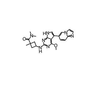 COc1nc(NC2CC(C)(C(=O)N(C)C)C2)nc2[nH]cc(-c3ccc4nccn4c3)c12